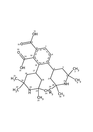 CC1(C)CC(c2ccc(C(=O)O)c(C(=O)O)c2C2CC(C)(C)NC(C)(C)C2)CC(C)(C)N1